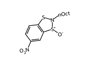 CCCCCCCCN1Sc2ccc([N+](=O)[O-])cc2[S+]1[O-]